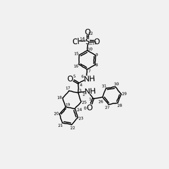 O=C(NC1(C(=O)Nc2ccc(S(=O)(=O)Cl)cc2)CCc2ccccc2C1)c1ccccc1